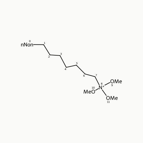 CCCCCCCCCCCCCCCC[N+](OC)(OC)OC